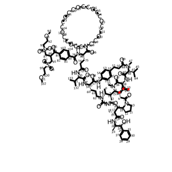 CC[C@H](C)[C@@H]([C@@H](CC(=O)N1CCC[C@H]1[C@H](OC)[C@@H](C)C(=O)N[C@H](C)[C@@H](O)c1ccccc1)OC)N(C)C(=O)[C@@H](NC(=O)[C@H](C(C)C)N(C)C(=O)CCc1ccc(NC(=O)[C@H](CCCNC(N)=O)NC(=O)[C@@H](NC(=O)CC[C@H](NC(=O)c2ccc(C(=O)C(CS(=O)(=O)CCOC)CS(=O)(=O)CCOC)cc2)C(=O)N2CCOCCOCCOCCOCCOCCOCCOCC2)C(C)C)cc1)C(C)C